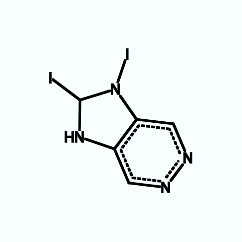 IC1Nc2cnncc2N1I